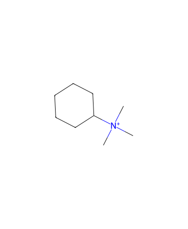 C[N+](C)(C)C1CCCCC1